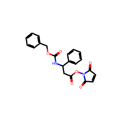 O=C(CC(NC(=O)OCc1ccccc1)c1ccccc1)ON1C(=O)C=CC1=O